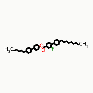 CCCCCCCCCC1CCC(c2ccc(C(=O)Oc3ccc(-c4ccc(CCCCCC)cc4)cc3)cc2F)CC1